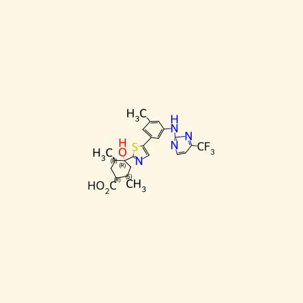 Cc1cc(Nc2nccc(C(F)(F)F)n2)cc(-c2cnc([C@@]3(O)C[C@H](C)[C@H](C(=O)O)C[C@H]3C)s2)c1